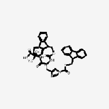 CC(C)(NC(=O)[C@H](Cc1cn(C(=O)OCC2c3ccccc3-c3ccccc32)cn1)NC(=O)OCC1c2ccccc2-c2ccccc21)C(=O)O